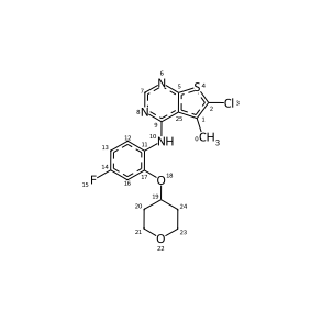 Cc1c(Cl)sc2ncnc(Nc3ccc(F)cc3OC3CCOCC3)c12